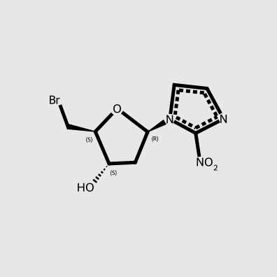 O=[N+]([O-])c1nccn1[C@H]1C[C@H](O)[C@@H](CBr)O1